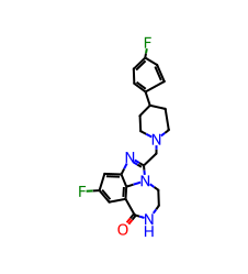 O=C1NCCn2c(CN3CCC(c4ccc(F)cc4)CC3)nc3cc(F)cc1c32